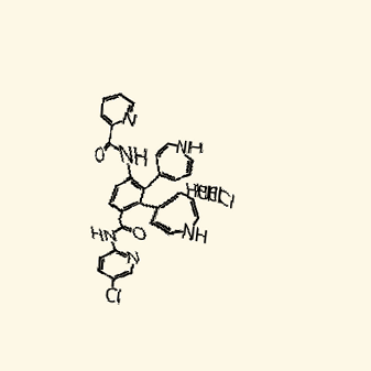 Cl.Cl.Cl.O=C(Nc1ccc(C(=O)Nc2ccc(Cl)cn2)c(C2=CC=CNC=C2)c1C1=CC=CNC=C1)c1ccccn1